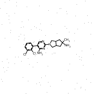 CC1(N)CC2CN(c3ncc(-c4cccc(Cl)c4Cl)c(N)n3)CC2C1